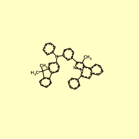 Cc1c(-c2cccc(N(c3ccccc3)c3ccc4c(c3)C(C)(C)c3ccccc3-4)c2)nn2c(-c3ccccc3)cc3ccccc3c12